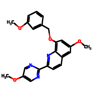 COc1cnc(-c2ccc3cc(OC)cc(OCc4cccc(OC)c4)c3n2)nc1